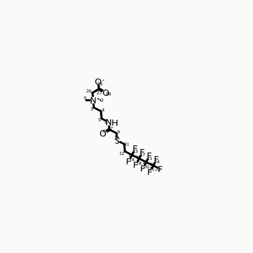 C[N+](C)(CCCNC(=O)CSCCC(F)(F)C(F)(F)C(F)(F)C(F)(F)F)CC(=O)[O-]